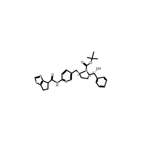 CC(C)(C)OC(=O)N1[C@H](Cc2ccc(NC(=O)C3CCc4scnc43)nc2)CC[C@@H]1[C@H](O)c1ccccc1